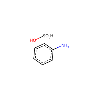 Nc1ccccc1.O=S(=O)(O)O